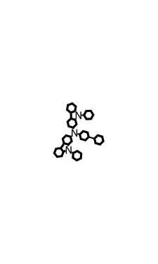 c1ccc(-c2ccc(N(c3ccc4c5ccccc5n(-c5ccccc5)c4c3)c3ccc4c5ccccc5n(-c5ccccc5)c4c3)cc2)cc1